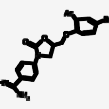 CC(=O)c1cc(Br)ccc1OCC1CN(c2ccc(C(=N)N)cc2)C(=O)O1